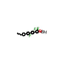 B=COc1ccc(-c2ccc(-c3ccc(C4CCC(CCC=C)CC4)cc3F)cc2)c(F)c1F